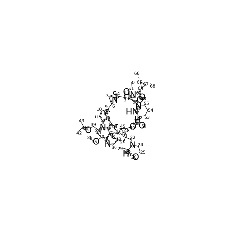 CCO[C@@H]1c2nc(cs2)-c2ccc3c(c2)c(c(-c2cc([C@@H]4CCN5CCOC[C@@H]5C4)cnc2[C@H](C)OC)n3CCOC(C)C)CC(C)(C)COC(=O)[C@@H]2CCCN(N2)C(=O)[C@H]1NC(=O)[C@H]1[C@H](C)[C@@H]1C